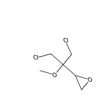 COC(CCl)(CCl)C1CO1